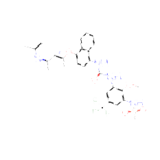 C=C(C)/N=C(C)\C=C(/C)Oc1ccc(NC(=O)Nc2cc(C(F)(F)F)cc(NS(C)(=O)=O)c2OC)c2ccccc12